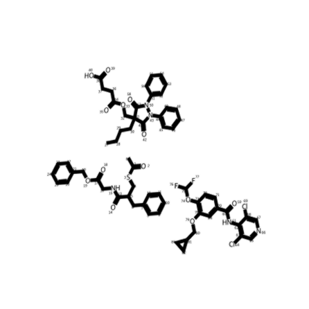 CC(=O)SCC(Cc1ccccc1)C(=O)NCC(=O)OCc1ccccc1.CCCCC1(COC(=O)CCC(=O)O)C(=O)N(c2ccccc2)N(c2ccccc2)C1=O.O=C(Nc1c(Cl)cncc1Cl)c1ccc(OC(F)F)c(OCC2CC2)c1